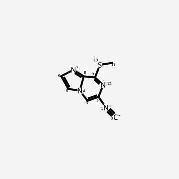 [C-]#[N+]c1cn2ccnc2c(SC)n1